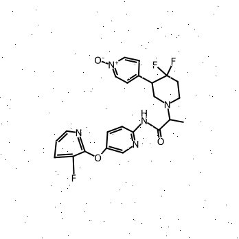 CC(C(=O)Nc1ccc(Oc2ncccc2F)cn1)N1CCC(F)(F)C(c2cc[n+]([O-])cc2)C1